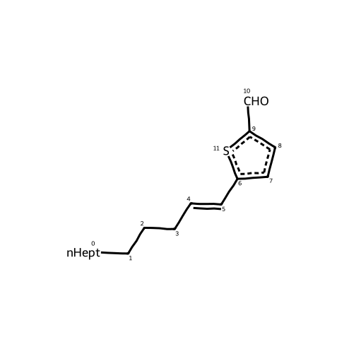 CCCCCCCCCC/C=C/c1ccc(C=O)s1